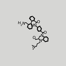 CN(C)CCCN1c2ccccc2N(C(=O)c2ccc(NC(=O)c3ccccc3-c3ccccc3CN)cc2)CC1C=O